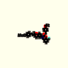 CCOc1ccc(COC(=O)N(Cc2cccc(F)c2)c2ccc3c(c2)C=CC(C)(CCc2ccc(OC)cc2)O3)cc1